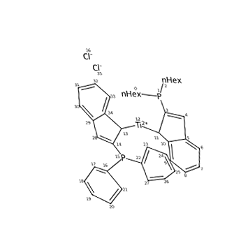 CCCCCCP(CCCCCC)C1=Cc2ccccc2[CH]1[Ti+2][CH]1C(P(c2ccccc2)c2ccccc2)=Cc2ccccc21.[Cl-].[Cl-]